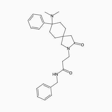 CN(C)C1(c2ccccc2)CCC2(CC1)CC(=O)N(CCC(=O)NCc1ccccc1)C2